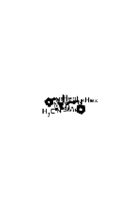 CCCCCCCN(Cc1ccccc1)c1nc(C)nc(SC)c1NC(=O)CCCN(CCCCCC)c1ccccc1